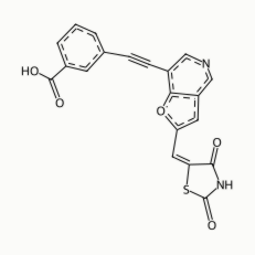 O=C1NC(=O)/C(=C\c2cc3cncc(C#Cc4cccc(C(=O)O)c4)c3o2)S1